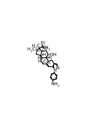 CCC(=O)[C@@]1(C)[C@H](C)C[C@H]2[C@@H]3CCC4=Cc5c(cnn5-c5ccc(N)cc5)C[C@]4(C)[C@H]3[C@@H](O)C[C@@]21C